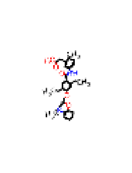 CCc1cc(C(=O)Nc2ccc(C)c(CC(=O)O)c2)c(CC)cc1OC[C@@H]1CN(C)c2ccccc2O1